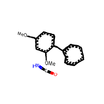 COc1ccc(-c2ccccc2)c(OC)c1.N=C=O